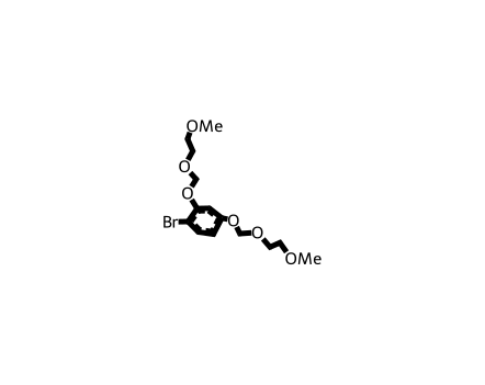 COCCOCOc1ccc(Br)c(OCOCCOC)c1